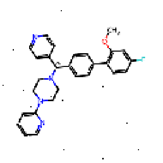 COc1cc(F)ccc1-c1ccc([C@H](c2ccncc2)N2CCN(c3ccccn3)CC2)cc1